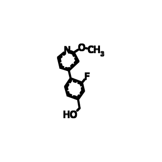 COc1cc(-c2ccc(CO)cc2F)ccn1